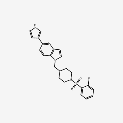 O=S(=O)(c1ccccc1F)N1CCC(Cn2ccc3nc(-c4cn[nH]c4)ccc32)CC1